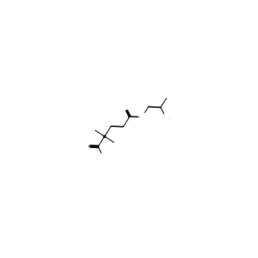 CC(O)COC(=O)CCC(C)(C)C(=O)O